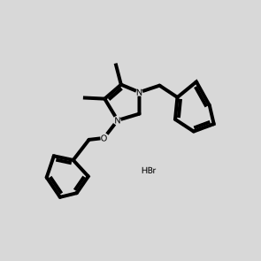 Br.CC1=C(C)N(OCc2ccccc2)CN1Cc1ccccc1